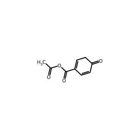 CC(=O)OC(=O)C1=CCC(=O)C=C1